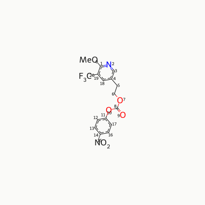 COc1ncc(CCOC(=O)Oc2ccc([N+](=O)[O-])cc2)cc1C(F)(F)F